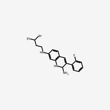 CCC(CCNc1ccc2c(c1)NC(N)C(c1ccccc1F)=C2)C(C)C